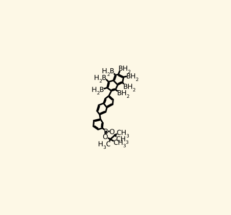 Bc1c(B)c(B)c2c(B)c(-c3ccc4cc(-c5cccc(B6OC(C)(C)C(C)(C)O6)c5)ccc4c3)c(B)c(B)c2c1B